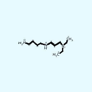 CCN(CC)CCCNCCCCN